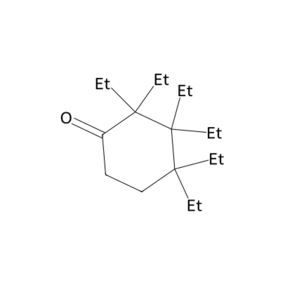 CCC1(CC)CCC(=O)C(CC)(CC)C1(CC)CC